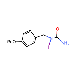 CC(C)COc1ccc(CN(I)C(N)=O)cc1